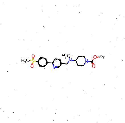 CC(C)OC(=O)N1CCC(N(C)Cc2ccc(-c3ccc(S(C)(=O)=O)cc3)nc2)CC1